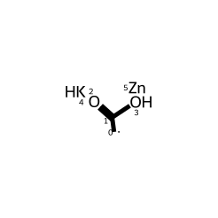 [CH2]C(=O)O.[KH].[Zn]